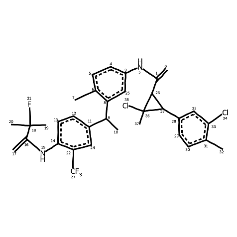 C=C(Nc1ccc(C)c(C(C)c2ccc(NC(=C)C(C)(C)F)c(C(F)(F)F)c2)c1)C1C(c2ccc(C)c(Cl)c2)C1(C)Cl